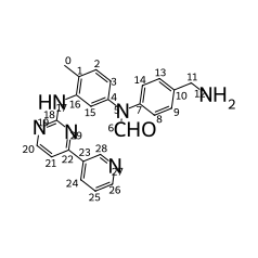 Cc1ccc(N(C=O)c2ccc(CN)cc2)cc1Nc1nccc(-c2cccnc2)n1